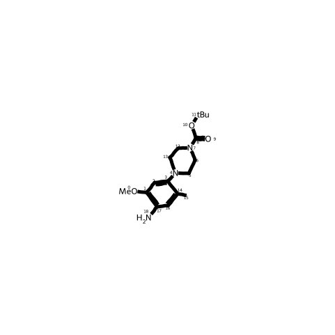 COc1cc(N2CCN(C(=O)OC(C)(C)C)CC2)c(C)cc1N